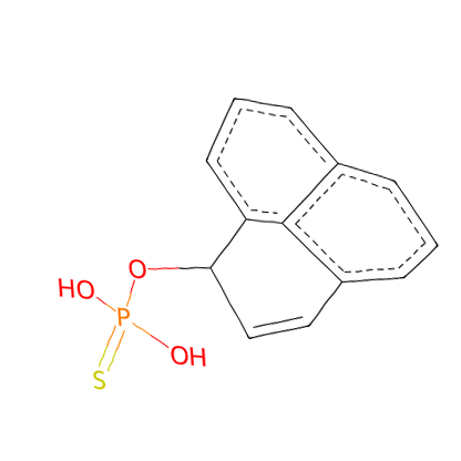 OP(O)(=S)OC1C=Cc2cccc3cccc1c23